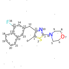 Cc1sc(N2CCOCC2)nc1Cc1cc(F)c2ccccc2c1